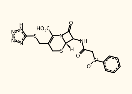 O=C(C[S+]([O-])c1ccccc1)NC1C(=O)N2C(C(=O)O)=C(CSc3nnn[nH]3)CS[C@@H]12